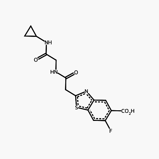 O=C(Cc1nc2cc(C(=O)O)c(F)cc2s1)NCC(=O)NC1CC1